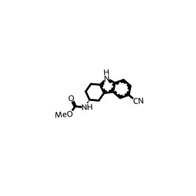 COC(=O)N[C@@H]1CCc2[nH]c3ccc(C#N)cc3c2C1